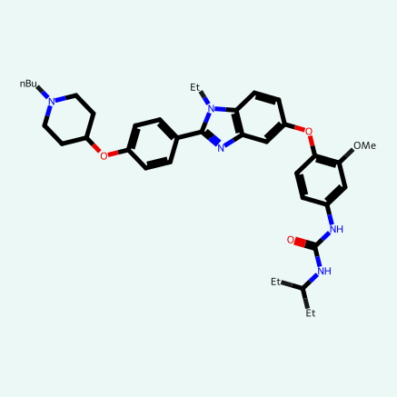 CCCCN1CCC(Oc2ccc(-c3nc4cc(Oc5ccc(NC(=O)NC(CC)CC)cc5OC)ccc4n3CC)cc2)CC1